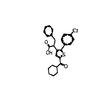 O=C(c1cc(C(Cc2ccccc2)C(=O)O)c(-c2ccc(Cl)cc2)s1)C1CCCCC1